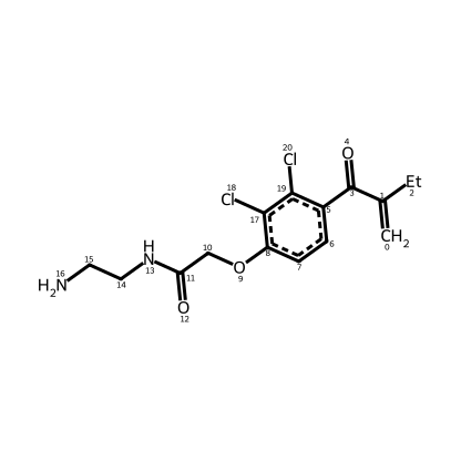 C=C(CC)C(=O)c1ccc(OCC(=O)NCCN)c(Cl)c1Cl